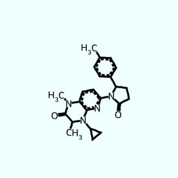 Cc1ccc(C2CCC(=O)N2c2ccc3c(n2)N(C2CC2)C(C)C(=O)N3C)cc1